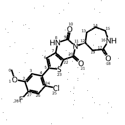 COc1cc(-c2cc3[nH]c(=O)n([C@H]4CCCNC(=O)C4)c(=O)c3s2)c(Cl)cc1F